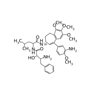 COc1ccc(C2=C[C@H](NC(=O)C(CC(C)C)NC(=O)C(O)C(N)Cc3ccccc3)CCc3c2cc(OC)c(OC)c3OC)cc1N